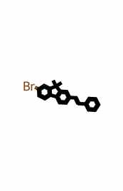 CC1(C)c2cc(Br)ccc2-c2ccc(/C=C/c3ccccc3)cc21